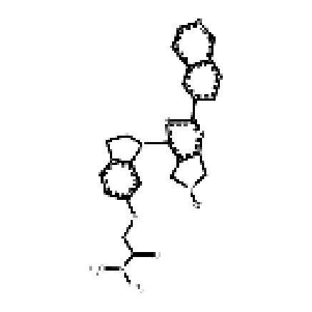 CN(C)C(=O)COc1ccc2c(c1)N(c1nc(-c3ccc4cnccc4c3)nc3c1C[S+]([O-])C3)CC2